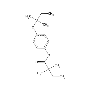 CCC(C)(C)Oc1ccc(OC(=O)C(C)(C)CC)cc1